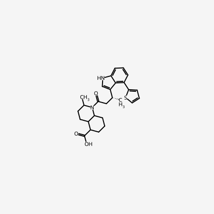 CC1CCC2C(C(=O)O)CCCC2N1C(=O)C[C@@H](C)c1c[nH]c2cccc(-c3cccs3)c12